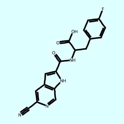 N#Cc1cc2cc(C(=O)NC(Cc3ccc(F)cc3)C(=O)O)[nH]c2cn1